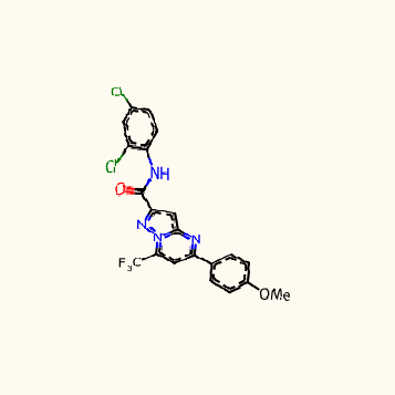 COc1ccc(-c2cc(C(F)(F)F)n3nc(C(=O)Nc4ccc(Cl)cc4Cl)cc3n2)cc1